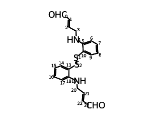 O=CC=CCNc1ccccc1SSc1ccccc1NCC=CC=O